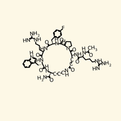 CC(=O)NC(CCCNC(=N)N)C(=O)N[C@H]1CCC(=O)NCCC[C@@H](C(N)=O)NC(=O)[C@H](Cc2c[nH]c3ccccc23)NC(=O)C(CCCNC(=N)N)NC(=O)[C@@H](Cc2ccc(F)cc2)NC(=O)[C@@H]2CCCN2C1=O